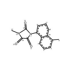 Cc1cccc2c(N3C(=O)C(=O)N(C)C3=O)cccc12